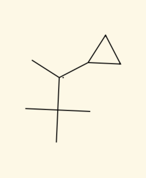 C[C](C1CC1)C(C)(C)C